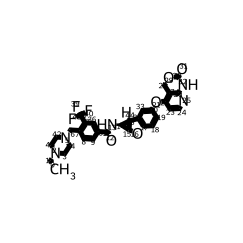 CCN1CCN(Cc2ccc(C(=O)N[C@@H]3C4Oc5ccc(Oc6ccnc7c6COC(=O)N7)cc5[C@H]43)cc2C(F)(F)F)CC1